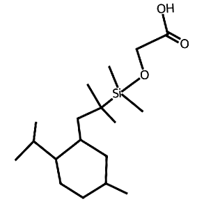 CC1CCC(C(C)C)C(CC(C)(C)[Si](C)(C)OCC(=O)O)C1